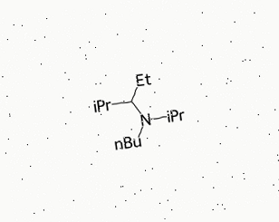 CCCCN(C(C)C)C(CC)C(C)C